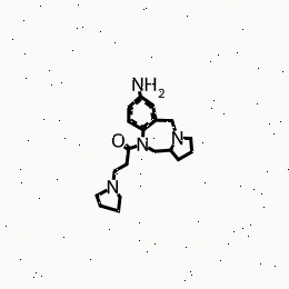 Nc1ccc2c(c1)CN1CCCC1CN2C(=O)CCN1CCCC1